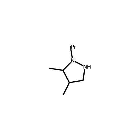 CC1CNN(C(C)C)C1C